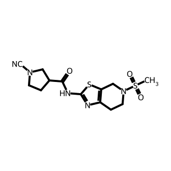 CS(=O)(=O)N1CCc2nc(NC(=O)C3CCN(C#N)C3)sc2C1